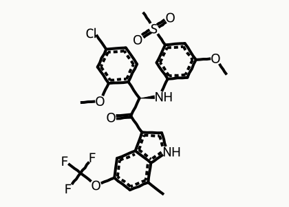 COc1cc(N[C@@H](C(=O)c2c[nH]c3c(C)cc(OC(F)(F)F)cc23)c2ccc(Cl)cc2OC)cc(S(C)(=O)=O)c1